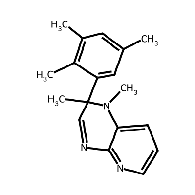 Cc1cc(C)c(C)c(C2(C)C=Nc3ncccc3N2C)c1